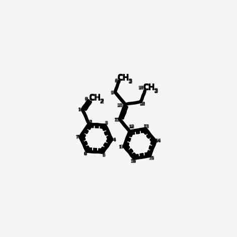 C=Cc1ccccc1.CCC(=Cc1ccccc1)CC